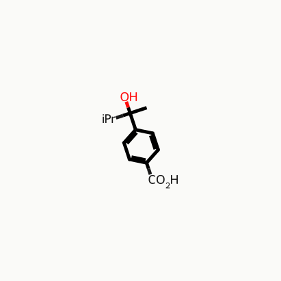 CC(C)C(C)(O)c1ccc(C(=O)O)cc1